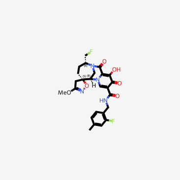 COC1=NO[C@@]2(CC[C@H](CF)N3C[C@H]2n2cc(C(=O)NCc4ccc(C)cc4F)c(=O)c(O)c2C3=O)C1